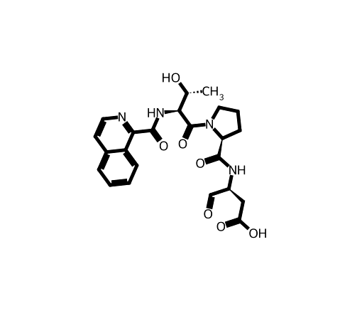 C[C@@H](O)[C@H](NC(=O)c1nccc2ccccc12)C(=O)N1CCC[C@H]1C(=O)N[C@H](C=O)CC(=O)O